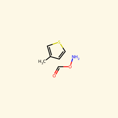 Cc1ccsc1.NOC=O